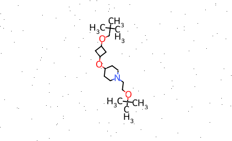 CC(C)(C)COC1CC(OC2CCN(CCOC(C)(C)C)CC2)C1